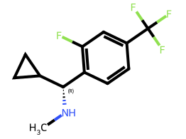 CN[C@@H](c1ccc(C(F)(F)F)cc1F)C1CC1